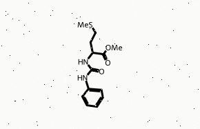 COC(=O)C(CCSC)NC(=O)Nc1ccccc1